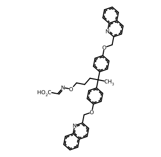 CC(CCCON=CC(=O)O)(c1ccc(OCc2ccc3ccccc3n2)cc1)c1ccc(OCc2ccc3ccccc3n2)cc1